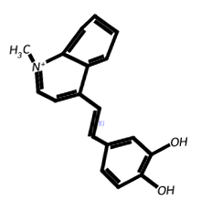 C[n+]1ccc(/C=C/c2ccc(O)c(O)c2)c2ccccc21